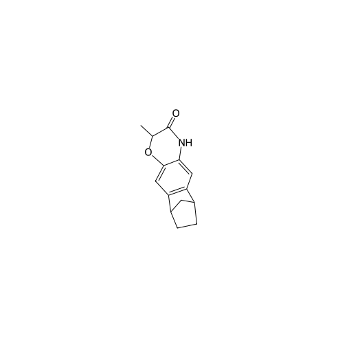 CC1Oc2cc3c(cc2NC1=O)C1CCC3C1